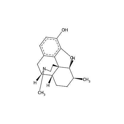 C[C@H]1CC[C@@H]2[C@@H]3Cc4ccc(O)c5c4[C@]2(CCN3C)[C@@H]1O5